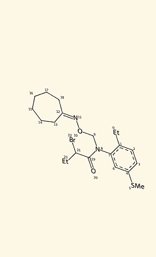 CCc1ccc(SC)cc1N(CON=C1CCCCCC1)C(=O)C(Br)CC